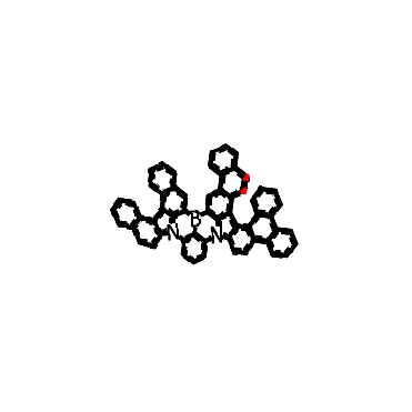 c1cc2c3c(c1)-n1c4ccc5c6ccccc6c6ccccc6c5c4c4c5c6ccccc6c6ccccc6c5cc(c41)B3c1cc3ccccc3c3c4c5ccccc5ccc4n-2c13